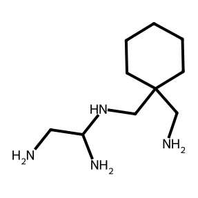 NCC(N)NCC1(CN)CCCCC1